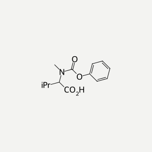 CC(C)C(C(=O)O)N(C)C(=O)Oc1ccccc1